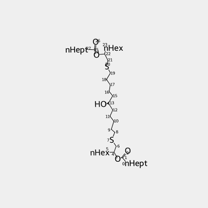 CCCCCCCC(=O)OC(CCCCCC)CSCCCCCC(O)CCCCCSCC(CCCCCC)OC(=O)CCCCCCC